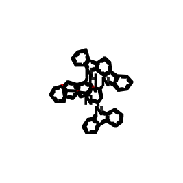 C1=C(n2c3ccccc3c3ccc4c5ccccc5n(-c5cccc(-c6ccccc6)c5)c4c32)NC(c2ccccc2)N=C1n1c2ccccc2c2ccccc21